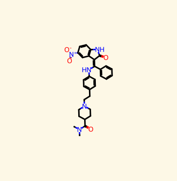 CN(C)C(=O)C1CCN(CCc2ccc(NC(=C3C(=O)Nc4ccc([N+](=O)[O-])cc43)c3ccccc3)cc2)CC1